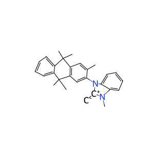 [CH2-][c+]1n(C)c2ccccc2n1-c1cc2c(cc1C)C(C)(C)c1ccccc1C2(C)C